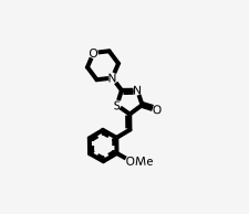 COc1ccccc1C=C1SC(N2CCOCC2)=NC1=O